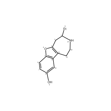 CCC1Cc2oc3ccc(O)cc3c2CCN1